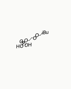 CCC(C)COOCCOP(=O)(O)O